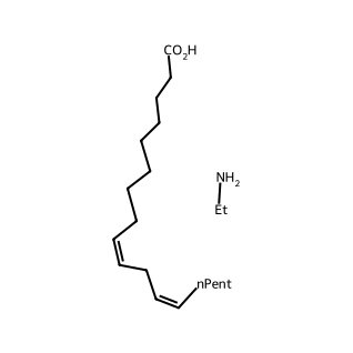 CCCCC/C=C\C/C=C\CCCCCCCC(=O)O.CCN